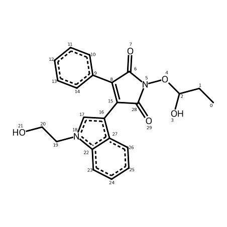 CCC(O)ON1C(=O)C(c2ccccc2)=C(c2cn(CCO)c3ccccc23)C1=O